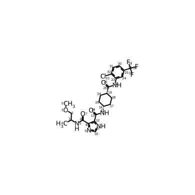 COCC(C)NC(=O)c1nc[nH]c1C(=O)N[C@H]1CC[C@H](C(=O)Nc2cc(C(F)(F)F)ccc2Cl)CC1